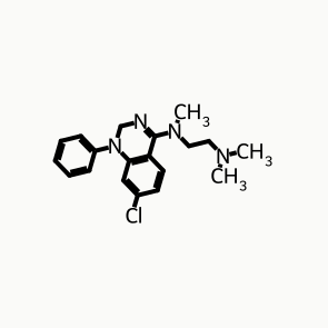 CN(C)CCN(C)C1=NCN(c2ccccc2)c2cc(Cl)ccc21